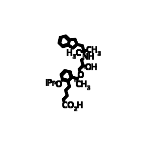 CC(C)Oc1cccc([C@@H](C)OC[C@H](O)CNC(C)(C)CC2Cc3ccccc3C2)c1CCCCC(=O)O